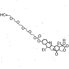 C#CCOCCOCCOCCOCCOC(=O)Oc1ccc2nc3c(c(CC)c2c1)Cn1c-3cc2c(c1=O)COC(=O)[C@]2(O)CC